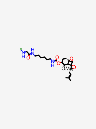 COC1C(OC(=O)NCCCCCCNC(=O)CNF)CC[C@]23OC2C2(O[C@@H]2CC=C(C)C)C13